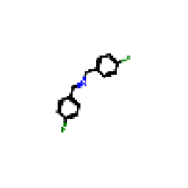 Fc1ccc(C=NCc2ccc(F)cc2)cc1